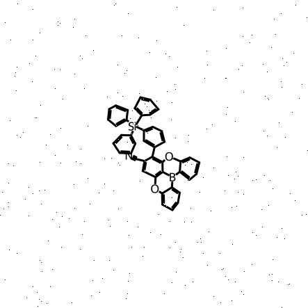 N#Cc1cc2c3c(c1-c1cccc([Si](c4ccccc4)(c4ccccc4)c4ccccc4)c1)Oc1ccccc1B3c1ccccc1O2